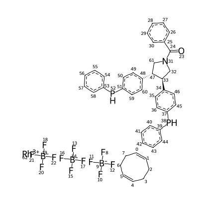 C1=C\CC/C=C\CC/1.F[B-](F)(F)F.F[B-](F)(F)F.F[B-](F)(F)F.O=C(c1ccccc1)N1C[C@@H](c2ccc(Pc3ccccc3)cc2)[C@H](c2ccc(Pc3ccccc3)cc2)C1.[Rh+3]